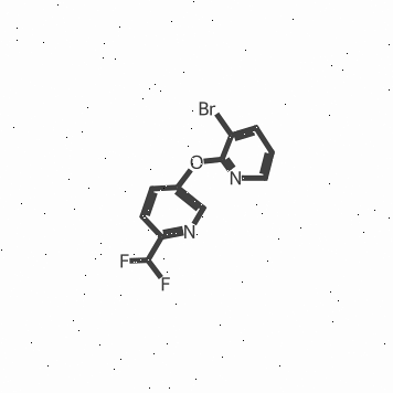 FC(F)c1ccc(Oc2ncccc2Br)cn1